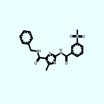 Cc1nc(NC(=O)c2cccc(S(C)(=O)=O)c2)sc1C(=O)NCc1ccccc1